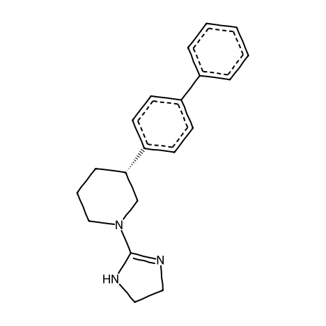 c1ccc(-c2ccc([C@H]3CCCN(C4=NCCN4)C3)cc2)cc1